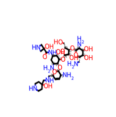 NC[C@@H]1O[C@H](O[C@H]2[C@@H](O)[C@H](O[C@@H]3[C@@H](O)[C@H](NC(=O)C4(O)CNC4)C[C@H](N)[C@H]3O[C@H]3O[C@H](CNCC4(O)CCNCC4)C=C[C@H]3N)O[C@@H]2CO)[C@H](N)[C@@H](O)[C@@H]1O